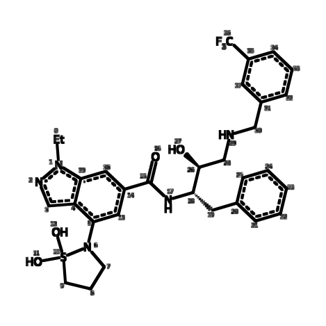 CCn1ncc2c(N3CCCS3(O)O)cc(C(=O)N[C@@H](Cc3ccccc3)[C@@H](O)CNCc3cccc(C(F)(F)F)c3)cc21